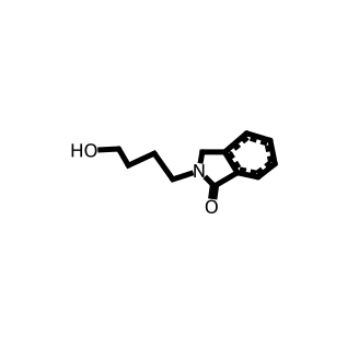 O=C1c2ccccc2CN1CCCCO